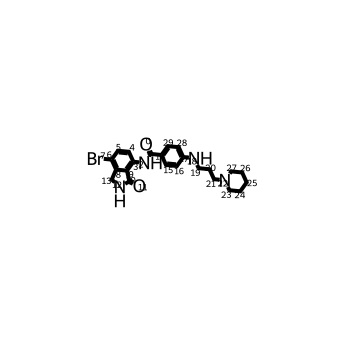 O=C(Nc1ccc(Br)c2c1C(=O)NC2)c1ccc(NCCCN2CCCCC2)cc1